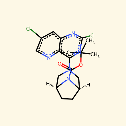 CC(C)(C)OC(=O)N1[C@@H]2CC[C@H]1CN(c1nc(Cl)nc3cc(Cl)cnc13)C2